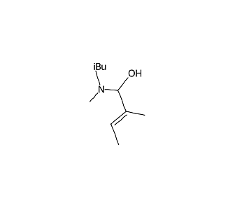 CC=C(C)C(O)N(C)C(C)CC